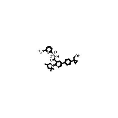 CC1CN(c2ncc(-c3ccc(C4(CO)CC4)cc3)cc2C(=O)NS(=O)(=O)c2cccc(N)n2)C(C)(C)C1